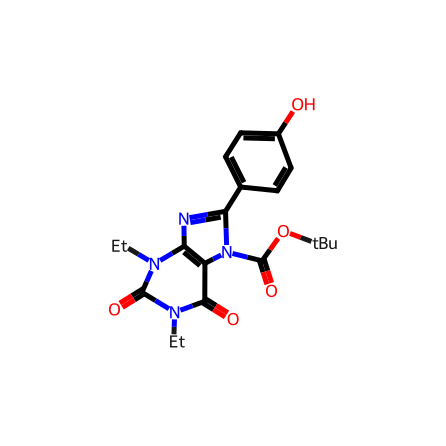 CCn1c(=O)c2c(nc(-c3ccc(O)cc3)n2C(=O)OC(C)(C)C)n(CC)c1=O